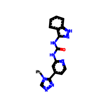 CC(C)n1cnnc1-c1ccnc(NC(=O)Nc2n[nH]c3ccccc23)c1